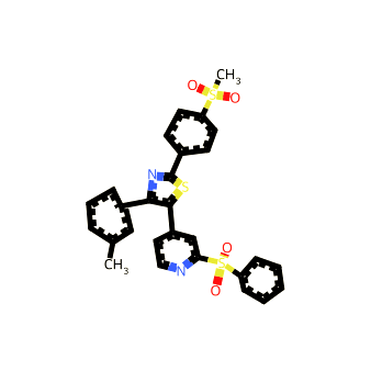 Cc1cccc(-c2nc(-c3ccc(S(C)(=O)=O)cc3)sc2-c2ccnc(S(=O)(=O)c3ccccc3)c2)c1